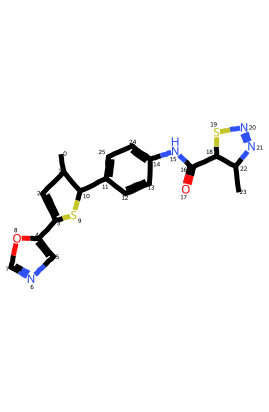 CC1C=C(c2cnco2)SC1c1ccc(NC(=O)C2SN=NC2C)cc1